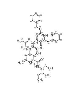 CCC(C)[C@@H](CO)NC(=O)CC(O)C(CC(C)C)NC(=O)[C@H](CC(C)C)NC(=O)[C@H](Cc1ccccn1)NC(=O)OCc1ccccc1